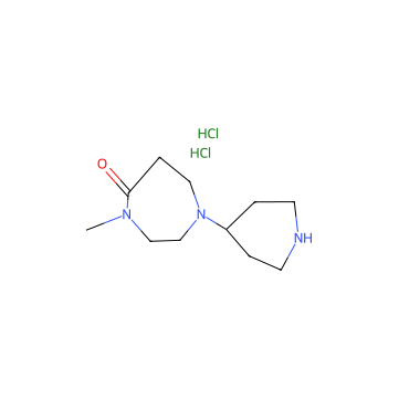 CN1CCN(C2CCNCC2)CCC1=O.Cl.Cl